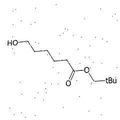 CC(C)(C)COC(=O)CCCCCO